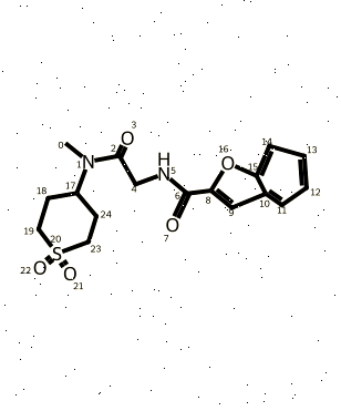 CN(C(=O)CNC(=O)c1cc2ccccc2o1)C1CCS(=O)(=O)CC1